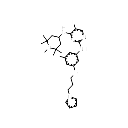 CN1C(C)(C)CC(Nc2nc(Nc3cc(F)cc(OCCCn4cccc4)c3)ncc2F)CC1(C)C